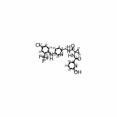 O=C(NC1(C(=O)NCc2ccc(Nc3ccc(Cl)cc3C(F)(F)F)cn2)CC1)c1cccc(O)n1